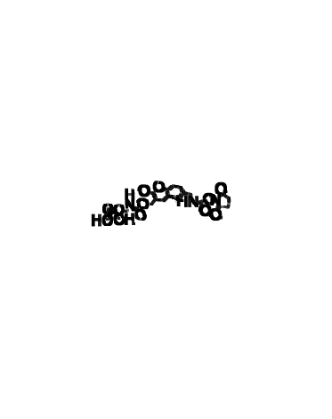 O=C(NCOP(=O)(O)O)OCc1cc2cc(CNC(=O)ON3C(=O)CCC3=O)ccc2oc1=O